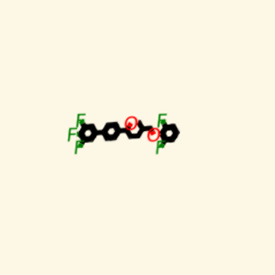 Fc1cc(-c2ccc(C3CCC(COc4c(F)cccc4F)CO3)cc2)cc(F)c1F